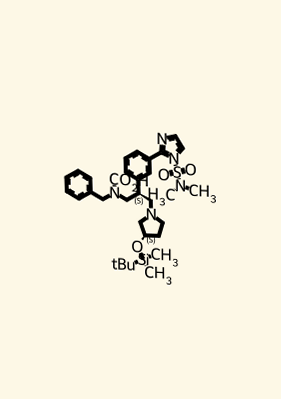 CN(C)S(=O)(=O)n1ccnc1-c1cccc([C@@H](CN2CC[C@H](O[Si](C)(C)C(C)(C)C)C2)CN(Cc2ccccc2)C(=O)O)c1